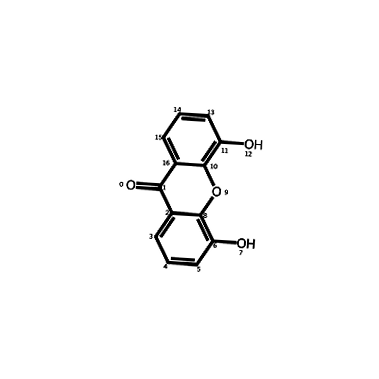 O=c1c2cccc(O)c2oc2c(O)cccc12